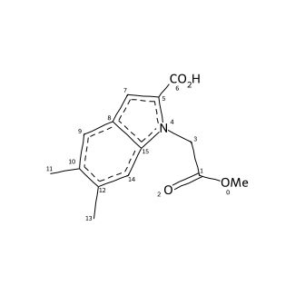 COC(=O)Cn1c(C(=O)O)cc2cc(C)c(C)cc21